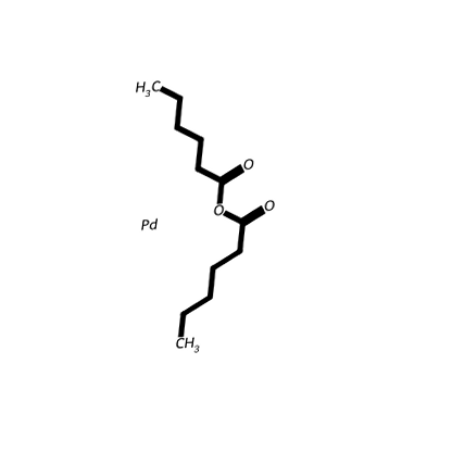 CCCCCC(=O)OC(=O)CCCCC.[Pd]